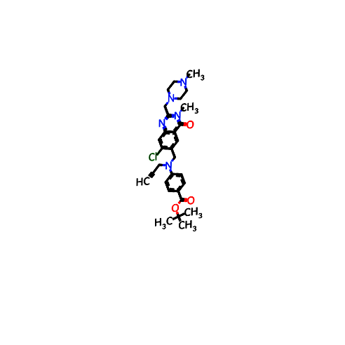 C#CCN(Cc1cc2c(=O)n(C)c(CN3CCN(C)CC3)nc2cc1Cl)c1ccc(C(=O)OC(C)(C)C)cc1